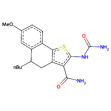 CCCCC1Cc2c(sc(NC(N)=O)c2C(N)=O)-c2ccc(OC)cc21